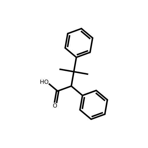 CC(C)(c1ccccc1)C(C(=O)O)c1ccccc1